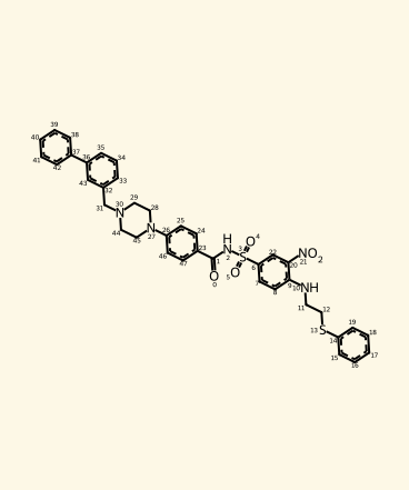 O=C(NS(=O)(=O)c1ccc(NCCSc2ccccc2)c([N+](=O)[O-])c1)c1ccc(N2CCN(Cc3cccc(-c4ccccc4)c3)CC2)cc1